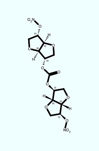 O=C(O[C@H]1CO[C@H]2[C@@H]1OC[C@@H]2O[N+](=O)[O-])O[C@H]1CO[C@H]2[C@@H]1OC[C@@H]2O[N+](=O)[O-]